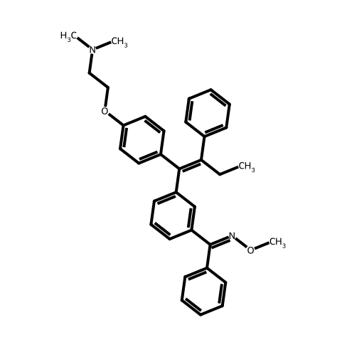 CCC(=C(c1ccc(OCCN(C)C)cc1)c1cccc(C(=NOC)c2ccccc2)c1)c1ccccc1